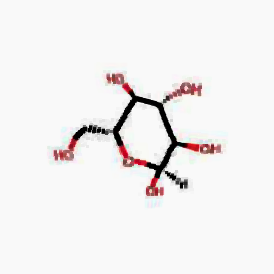 [2H][C@]1(O)O[C@H](CO)[C@@H](O)[C@H](O)[C@H]1O